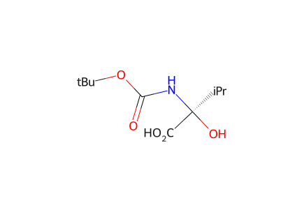 CC(C)[C@@](O)(NC(=O)OC(C)(C)C)C(=O)O